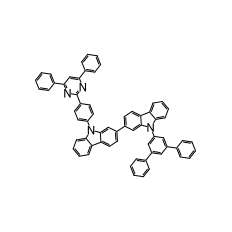 c1ccc(-c2cc(-c3ccccc3)cc(-n3c4ccccc4c4ccc(-c5ccc6c7ccccc7n(-c7ccc(-c8nc(-c9ccccc9)cc(-c9ccccc9)n8)cc7)c6c5)cc43)c2)cc1